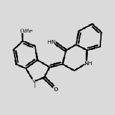 COc1ccc2c(c1)/C(=C1/CNc3ccccc3C1=N)C(=O)N2